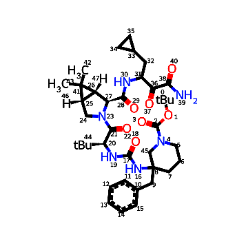 CC(C)(C)OC(=O)N1CCCC(Cc2ccccc2)(NC(=O)N[C@H](C(=O)N2C[C@H]3[C@@H]([C@H]2C(=O)NC(CC2CC2)C(=O)C(N)=O)C3(C)C)C(C)(C)C)C1